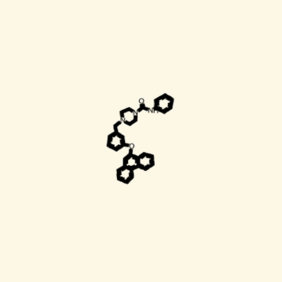 O=C(Nc1ccccc1)N1CCN(Cc2cccc(Oc3cc4ccccc4c4ccccc34)c2)CC1